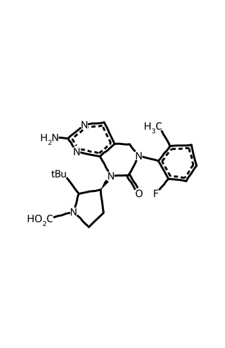 Cc1cccc(F)c1N1Cc2cnc(N)nc2N([C@H]2CCN(C(=O)O)C2C(C)(C)C)C1=O